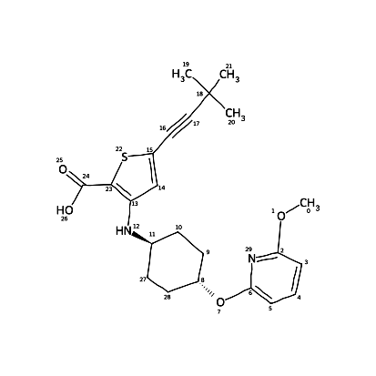 COc1cccc(O[C@H]2CC[C@H](Nc3cc(C#CC(C)(C)C)sc3C(=O)O)CC2)n1